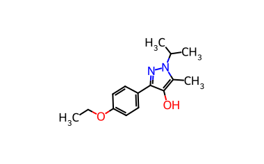 CCOc1ccc(-c2nn(C(C)C)c(C)c2O)cc1